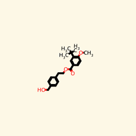 COc1ccc(C(=O)OCCc2ccc(CO)cc2)cc1C(C)(C)C